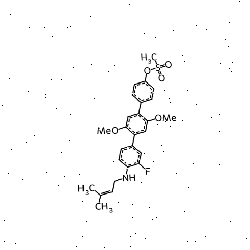 COc1cc(-c2ccc(NCC=C(C)C)c(F)c2)c(OC)cc1-c1ccc(OS(C)(=O)=O)cc1